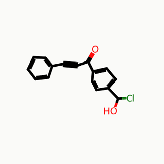 O=C(C#Cc1ccccc1)c1ccc(C(O)Cl)cc1